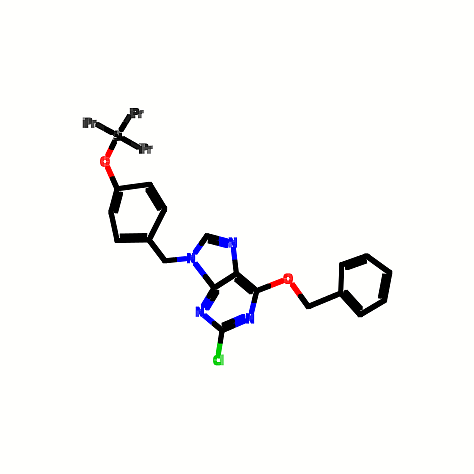 CC(C)[Si](Oc1ccc(Cn2cnc3c(OCc4ccccc4)nc(Cl)nc32)cc1)(C(C)C)C(C)C